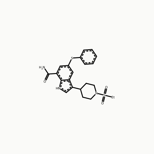 CCS(=O)(=O)N1CCC(c2c[nH]c3c(C(N)=O)cc(Sc4ccccc4)cc23)CC1